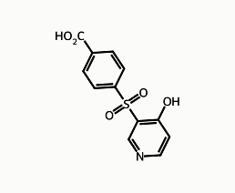 O=C(O)c1ccc(S(=O)(=O)c2cnccc2O)cc1